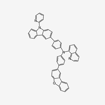 c1ccc(-n2c3ccccc3c3cc(-c4ccc(N(c5ccc(-c6ccc7oc8ccccc8c7c6)cc5)c5cccc6cccnc56)cc4)ccc32)nc1